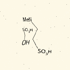 CNCCS(=O)(=O)O.O=S(=O)(O)O